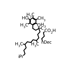 CCCCCCCCCCCCCC(=O)O.Cc1c(C)c2c(c(C)c1O)CC[C@@](C)(CCCC(C)CCCC(C)CCCC(C)C)O2